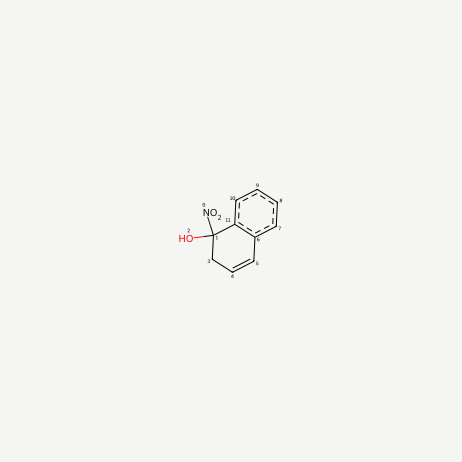 O=[N+]([O-])C1(O)CC=Cc2ccccc21